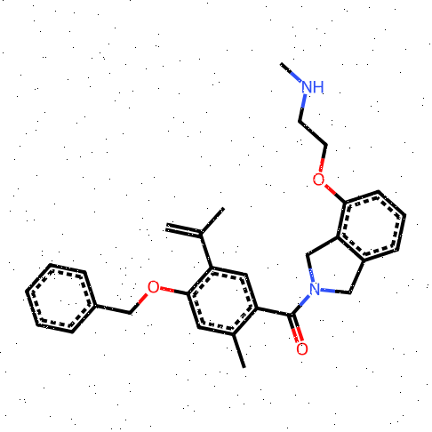 C=C(C)c1cc(C(=O)N2Cc3cccc(OCCNC)c3C2)c(C)cc1OCc1ccccc1